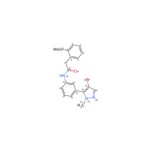 COc1ccccc1CC(=O)Nc1cccc(-c2c(Br)cnn2C)c1